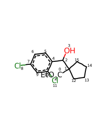 CCOC(=O)C1(C(O)c2ccc(Cl)cc2Cl)CCCC1